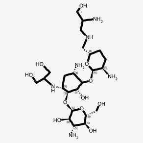 NC(CO)CNC[C@@H]1CC[C@@H](N)[C@@H](OC2[C@@H](N)C[C@@H](NC(CO)CO)[C@H](O[C@H]3O[C@H](CO)[C@@H](O)[C@H](N)[C@H]3O)[C@H]2O)O1